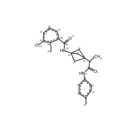 CC(C(=O)Nc1ccc(F)cc1)C12CC(NC(=O)c3cccc(Cl)c3F)(C1)C2